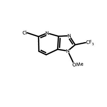 COn1c(C(F)(F)F)nc2nc(Cl)ccc21